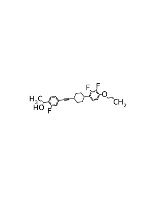 C=CCOc1ccc(C2CCC(C#Cc3ccc(C(C)O)c(F)c3)CC2)c(F)c1F